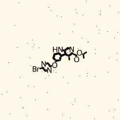 Cc1c(C(=O)OC(C)C)ncc2[nH]c3ccc(Oc4cnc(Br)cn4)cc3c12